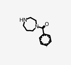 O=C(c1cc[c]cc1)N1CCCNCC1